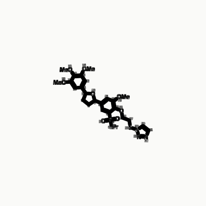 CCCS(=O)(=O)c1cc(C2CCC(c3cc(OC)c(OC)c(OC)c3)O2)cc(OC)c1OCCSn1ccnn1